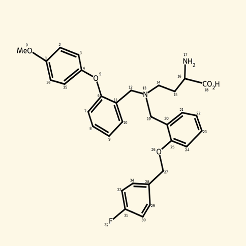 COc1ccc(Oc2ccccc2CN(CCC(N)C(=O)O)Cc2ccccc2OCc2ccc(F)cc2)cc1